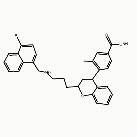 COC(=O)c1ccc(C2CC(CCCNCc3ccc(F)c4ccccc34)Oc3ccccc32)c(C)c1